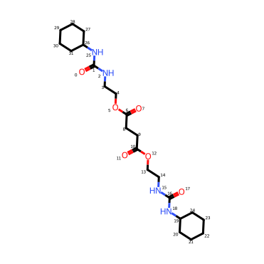 O=C(NCCOC(=O)CCC(=O)OCCNC(=O)NC1CCCCC1)NC1CCCCC1